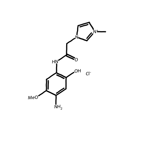 COc1cc(NC(=O)Cn2cc[n+](C)c2)c(O)cc1N.[Cl-]